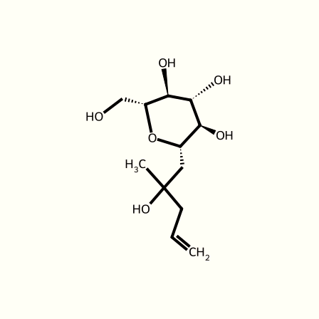 C=CCC(C)(O)C[C@@H]1O[C@H](CO)[C@@H](O)[C@H](O)[C@H]1O